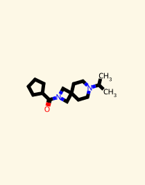 CC(C)N1CCC2(CC1)CN(C(=O)C1CCCC1)C2